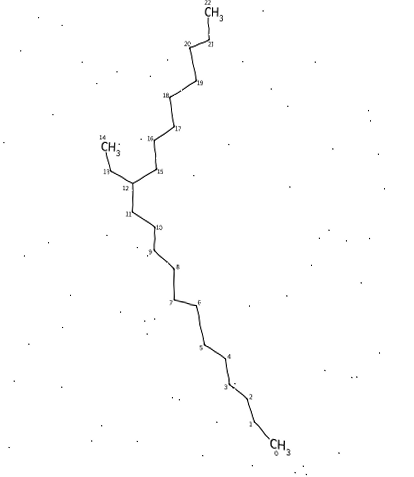 CCCCCCCCCCCCC(CC)CCCCCCCC